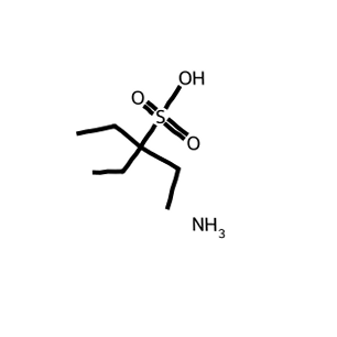 CCC(CC)(CC)S(=O)(=O)O.N